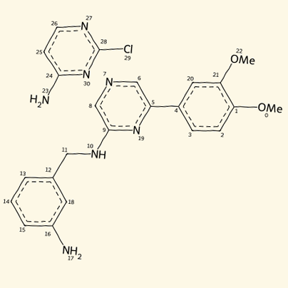 COc1ccc(-c2cncc(NCc3cccc(N)c3)n2)cc1OC.Nc1ccnc(Cl)n1